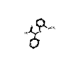 COc1ccccc1NC(C(=O)O)c1ccccc1